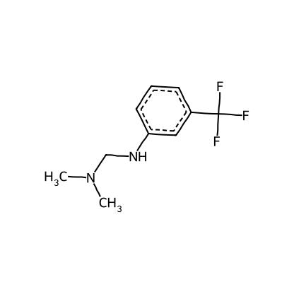 CN(C)CNc1cccc(C(F)(F)F)c1